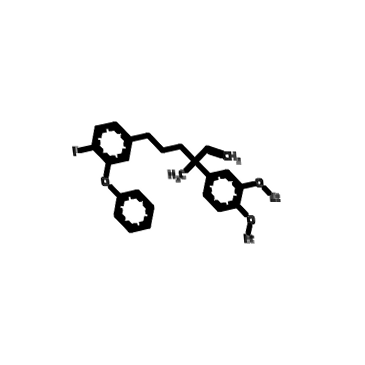 C=CC(C)(CCCc1ccc(F)c(Oc2ccccc2)c1)c1ccc(OCC)c(OCC)c1